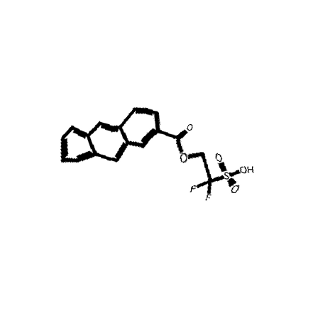 O=C(OCC(F)(F)S(=O)(=O)O)c1ccc2cc3ccccc3cc2c1